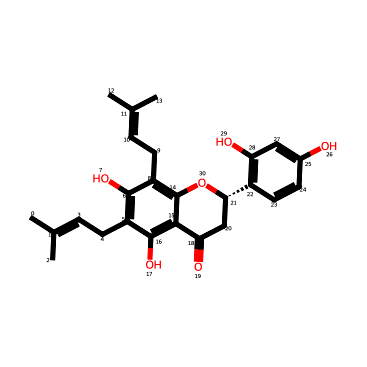 CC(C)=CCc1c(O)c(CC=C(C)C)c2c(c1O)C(=O)C[C@@H](c1ccc(O)cc1O)O2